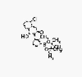 Cc1c(B2OC(C)(C)C(C)(C)O2)cccc1N1C(=O)C=C2C(Cl)=CC=CN2[C@@H]1O